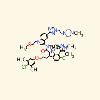 COCCn1cc(N2C[C@@H](C)n3c(c(CCCOc4cc(C)c(Cl)c(C)c4)c4ccc(Cl)c(-c5c(C)nn(C)c5C)c43)C2=O)c2cc(-c3ncn(CCN4CCN(C)CC4)n3)ccc21